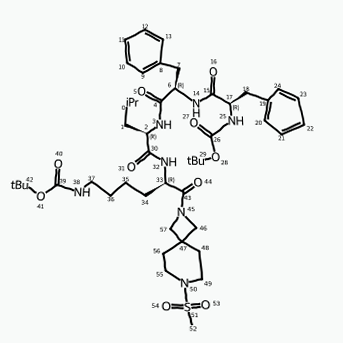 CC(C)C[C@@H](NC(=O)[C@@H](Cc1ccccc1)NC(=O)[C@@H](Cc1ccccc1)NC(=O)OC(C)(C)C)C(=O)N[C@H](CCCCNC(=O)OC(C)(C)C)C(=O)N1CC2(CCN(S(C)(=O)=O)CC2)C1